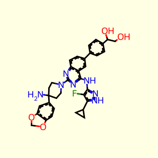 NC1(c2ccc3c(c2)OCO3)CCN(c2nc(Nc3n[nH]c(C4CC4)c3F)c3cc(-c4ccc(C(O)CO)cc4)ccc3n2)CC1